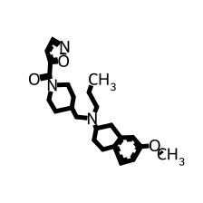 CCCN(CC1CCN(C(=O)c2ccno2)CC1)C1CCc2ccc(OC)cc2C1